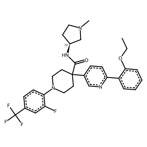 CCOc1ccccc1-c1ccc(C2(C(=O)N[C@H]3CCN(C)C3)CCN(c3ccc(C(F)(F)F)cc3F)CC2)cn1